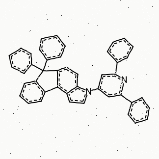 c1ccc(-c2cc(-n3ccc4c5c(ccc43)C(c3ccccc3)(c3ccccc3)c3ccccc3-5)cc(-c3ccccc3)n2)cc1